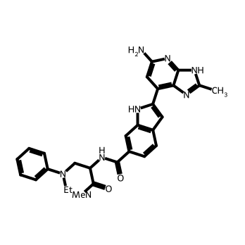 CCN(CC(NC(=O)c1ccc2cc(-c3cc(N)nc4[nH]c(C)nc34)[nH]c2c1)C(=O)NC)c1ccccc1